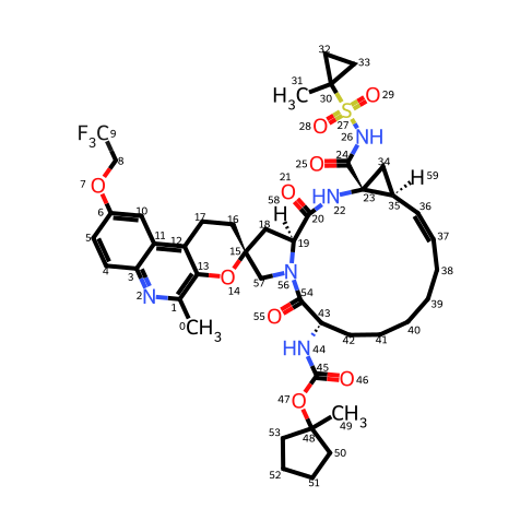 Cc1nc2ccc(OCC(F)(F)F)cc2c2c1O[C@]1(CC2)C[C@H]2C(=O)N[C@]3(C(=O)NS(=O)(=O)C4(C)CC4)C[C@H]3/C=C\CCCCC[C@H](NC(=O)OC3(C)CCCC3)C(=O)N2C1